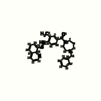 Cc1cc(C(=O)N2CCCN(Cc3ccccc3)CC2)ccc1NSc1cccc2cccnc12